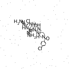 NN=NC1=C(Cl)NC(C(=O)NC2NCC3(CCN(C(=O)c4ccc(Cl)cc4)CC3)N2)C(N=NN)N1